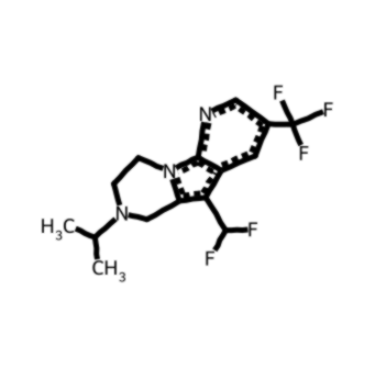 CC(C)N1CCn2c(c(C(F)F)c3cc(C(F)(F)F)cnc32)C1